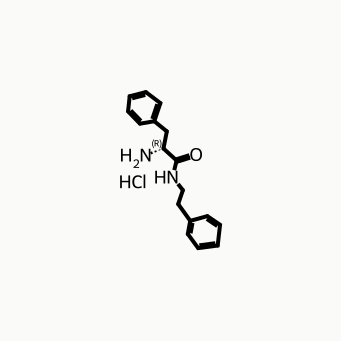 Cl.N[C@H](Cc1ccccc1)C(=O)NCCc1ccccc1